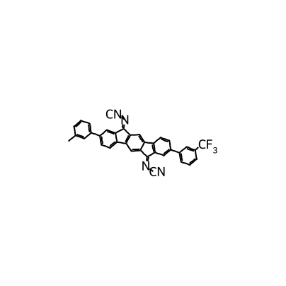 [C-]#[N+]/N=c1\c2cc(-c3cccc(C)c3)ccc2c2cc3/c(=N/C#N)c4cc(-c5cccc(C(F)(F)F)c5)ccc4c3cc12